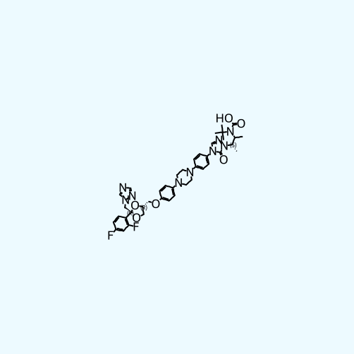 CC([C@H](C)n1ncn(-c2ccc(N3CCN(c4ccc(OC[C@@H]5CO[C@](Cn6cncn6)(c6ccc(F)cc6F)O5)cc4)CC3)cc2)c1=O)N(C(=O)O)C(C)(C)C